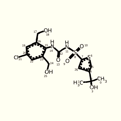 CC(C)(O)c1csc(S(=O)(=O)NC(=O)Nc2c(CO)cc(Cl)cc2CO)c1